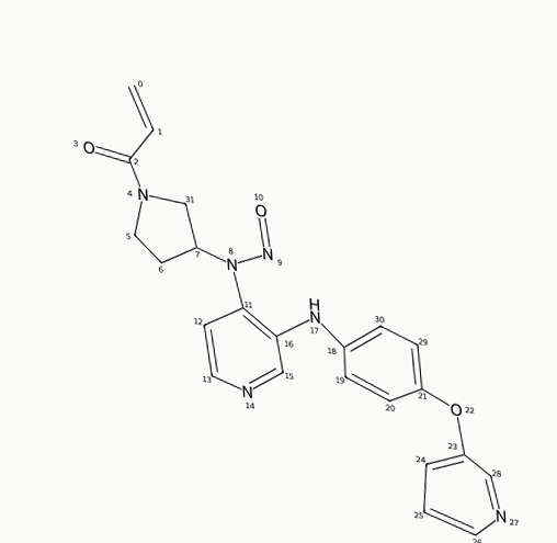 C=CC(=O)N1CCC(N(N=O)c2ccncc2Nc2ccc(Oc3cccnc3)cc2)C1